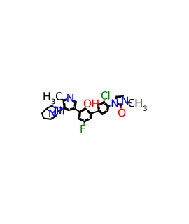 Cc1ncc(-c2cc(F)cc(-c3ccc(-n4ccn(C)c4=O)c(Cl)c3)c2O)cc1N1CC2CCC(C1)N2C(C)C